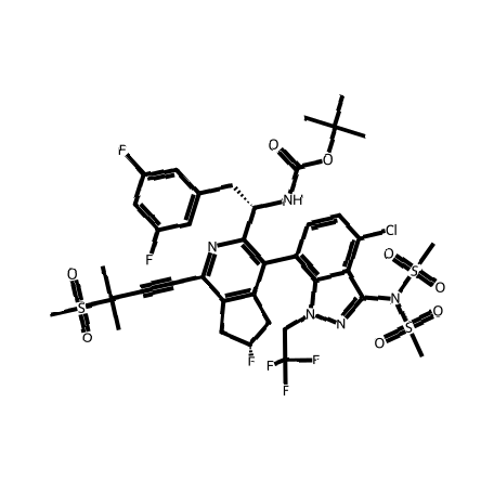 CC(C)(C)OC(=O)N[C@@H](Cc1cc(F)cc(F)c1)c1nc(C#CC(C)(C)S(C)(=O)=O)c2c(c1-c1ccc(Cl)c3c(N(S(C)(=O)=O)S(C)(=O)=O)nn(CC(F)(F)F)c13)C[C@H](F)C2